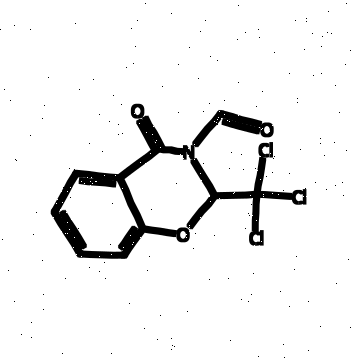 O=CN1C(=O)c2ccccc2OC1C(Cl)(Cl)Cl